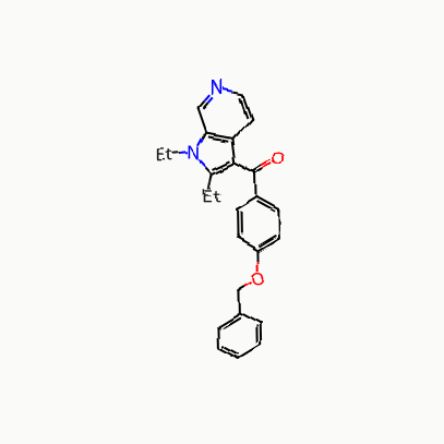 CCc1c(C(=O)c2ccc(OCc3ccccc3)cc2)c2ccncc2n1CC